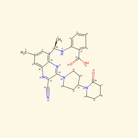 Cc1cc([C@@H](C)Nc2ccccc2C(=O)O)c2nc(N3CCC(N4CCCCC4=O)CC3)c(C#N)nc2c1